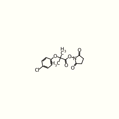 CC(C)(Oc1ccc(Cl)cc1)C(=O)ON1C(=O)CCC1=O